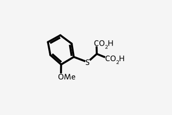 COc1ccccc1SC(C(=O)O)C(=O)O